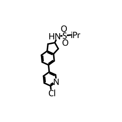 CC(C)S(=O)(=O)NC1Cc2ccc(-c3ccc(Cl)nc3)cc2C1